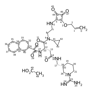 C=CCOc1c(NCCN(C(=O)[C@H](CC(=O)NC[C@@H]2CCCN(C(=N)N)C2)NS(=O)(=O)c2ccc3ccccc3c2)C2CC2)c(=O)c1=O.CC(=O)O